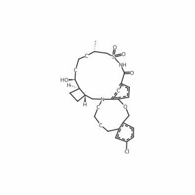 C[C@H]1CCC[C@H](O)[C@@H]2CC[C@H]2CN2CCCCc3cc(Cl)ccc3COc3ccc(cc32)C(=O)NS(=O)(=O)C1